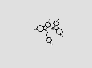 Cc1ccc2[nH]c3c(c2c1)CCN(C)CC3.Cc1ccc2c(c1)c1c(n2CCc2ccc(Cl)cc2)CCN(C)CC1